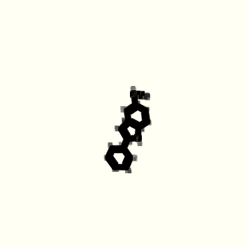 COc1ccc2oc(-c3ccccc3)cc2c1